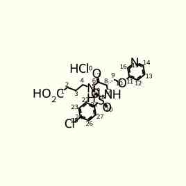 Cl.O=C(O)CCCNC(=O)[C@H](COc1cccnc1)NS(=O)(=O)c1ccc(Cl)cc1